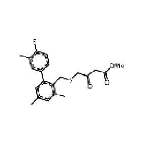 COC(=O)CC(=O)CSCc1c(C)cc(C)cc1-c1ccc(F)c(C)c1